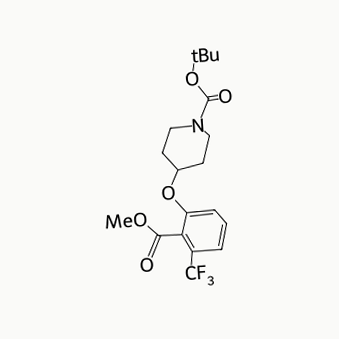 COC(=O)c1c(OC2CCN(C(=O)OC(C)(C)C)CC2)cccc1C(F)(F)F